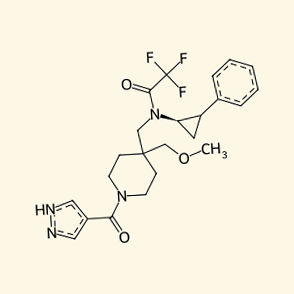 COCC1(CN(C(=O)C(F)(F)F)[C@@H]2CC2c2ccccc2)CCN(C(=O)c2cn[nH]c2)CC1